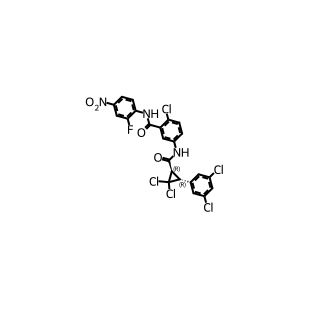 O=C(Nc1ccc([N+](=O)[O-])cc1F)c1cc(NC(=O)[C@H]2[C@H](c3cc(Cl)cc(Cl)c3)C2(Cl)Cl)ccc1Cl